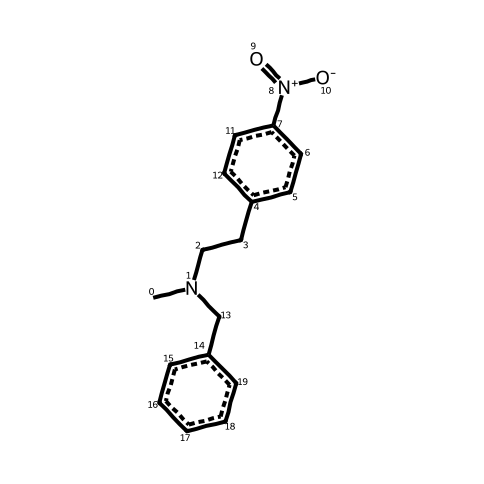 CN(CCc1ccc([N+](=O)[O-])cc1)Cc1ccccc1